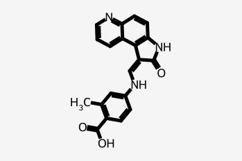 Cc1cc(NC=C2C(=O)Nc3ccc4ncccc4c32)ccc1C(=O)O